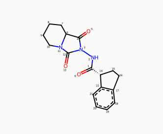 O=C(NN1C(=O)C2CCCCN2C1=O)[C@@H]1CCc2ccccc21